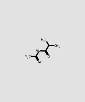 CC(=N)NC(=O)C(C)C